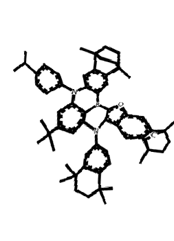 CC(C)c1ccc(N2c3cc4c(cc3B3c5oc6cc7c(cc6c5N(c5ccc6c(c5)C(C)(C)CCC6(C)C)c5cc(C(C)(C)C)cc2c53)C2(C)CCC7(C)CC2)C2(C)CCC4(C)CC2)cc1